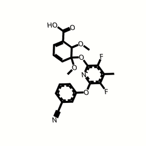 COC1C(C(=O)O)=CC=CC1(OC)Oc1nc(Oc2cccc(C#N)c2)c(F)c(C)c1F